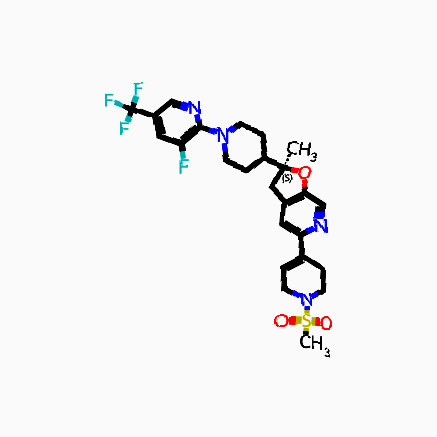 C[C@@]1(C2CCN(c3ncc(C(F)(F)F)cc3F)CC2)Cc2cc(C3=CCN(S(C)(=O)=O)CC3)ncc2O1